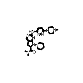 CN1CCN(c2ccc(Nc3ncc4c(n3)N(N3CCCCC3)C(C(=O)N(C)C)C4)nn2)CC1